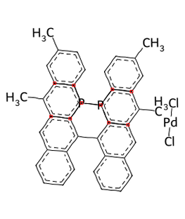 Cc1ccc(P(c2ccc(C)cc2)c2ccc3ccccc3c2-c2c(P(c3ccc(C)cc3)c3ccc(C)cc3)ccc3ccccc23)cc1.[Cl][Pd][Cl]